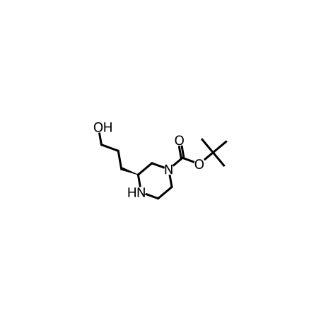 CC(C)(C)OC(=O)N1CCN[C@@H](CCCO)C1